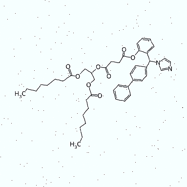 CCCCCCCC(=O)OCC(COC(=O)CCCCCCC)OC(=O)CCC(=O)Oc1ccccc1C(c1ccc(-c2ccccc2)cc1)n1ccnc1